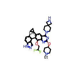 CCN1CCC(Oc2nc(N3CCC4(CC3)CNC4)c3cc(C4CC4)c(-c4c(C)ccc5[nH]ncc45)c(OCC(F)F)c3n2)CC1